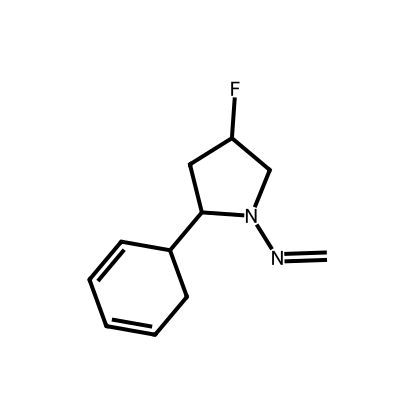 C=NN1CC(F)CC1C1C=CC=CC1